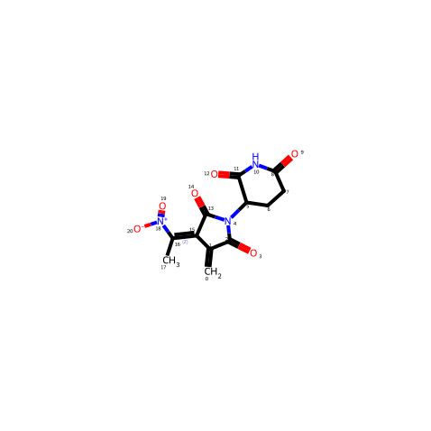 C=C1C(=O)N(C2CCC(=O)NC2=O)C(=O)/C1=C(/C)[N+](=O)[O-]